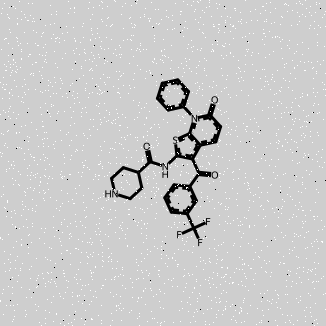 O=C(c1cccc(C(F)(F)F)c1)c1c(NC(=O)C2CCNCC2)sc2c1ccc(=O)n2-c1ccccc1